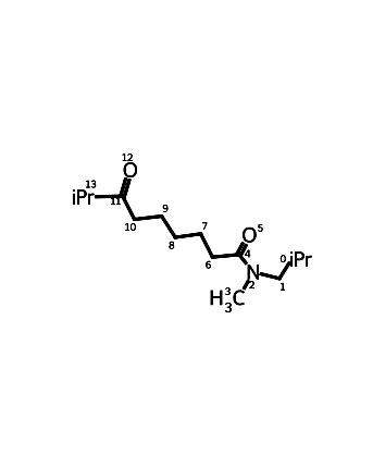 CC(C)CN(C)C(=O)CCCCCC(=O)C(C)C